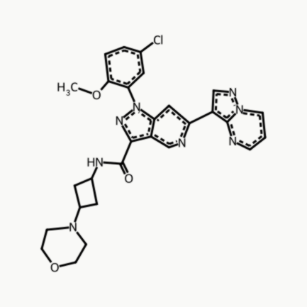 COc1ccc(Cl)cc1-n1nc(C(=O)NC2CC(N3CCOCC3)C2)c2cnc(-c3cnn4cccnc34)cc21